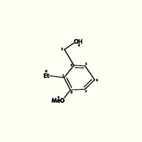 CCc1c(CO)cccc1OC